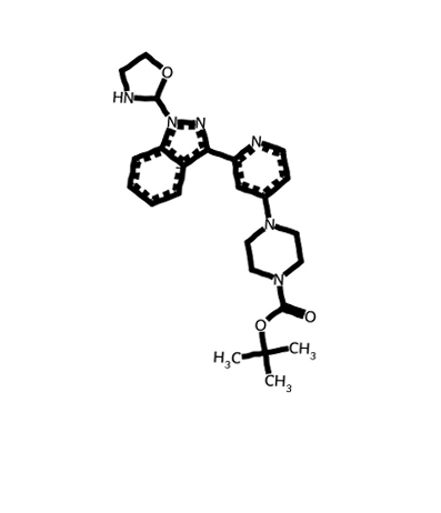 CC(C)(C)OC(=O)N1CCN(c2ccnc(-c3nn(C4NCCO4)c4ccccc34)c2)CC1